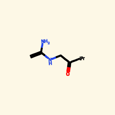 C=C(N)NCC(=O)C(C)C